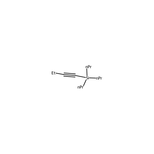 [CH2]CC#C[Si](CCC)(CCC)CCC